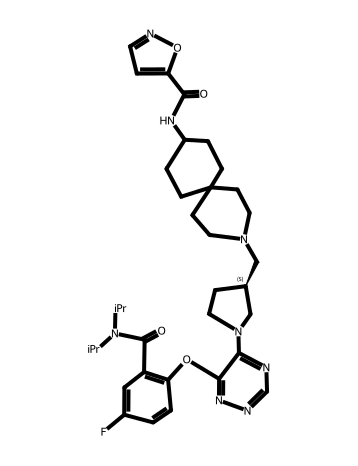 CC(C)N(C(=O)c1cc(F)ccc1Oc1nncnc1N1CC[C@@H](CN2CCC3(CCC(NC(=O)c4ccno4)CC3)CC2)C1)C(C)C